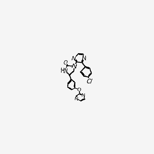 O=C1NC(c2cccc(Oc3cnccn3)c2)CN1c1nccnc1-c1ccc(Cl)cc1